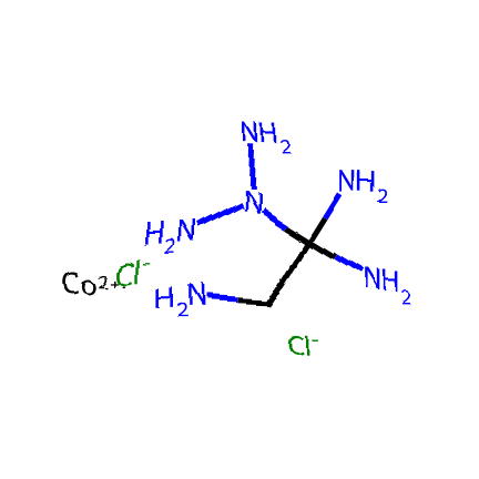 NCC(N)(N)N(N)N.[Cl-].[Cl-].[Co+2]